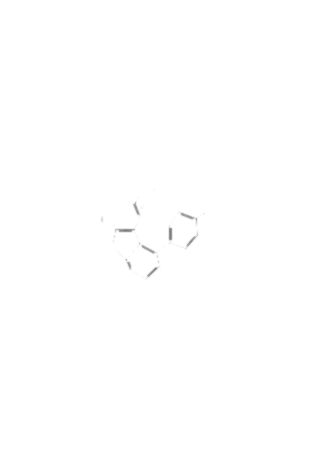 CC(C)c1oc2cccc(-c3ccc(F)cc3)c2c1/C=C/C=O